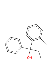 CCC(O)(c1ccccc1)c1ccccc1C